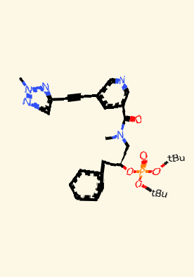 CN(C[C@H](Cc1ccccc1)OP(=O)(OC(C)(C)C)OC(C)(C)C)C(=O)c1cncc(C#Cc2cnn(C)n2)c1